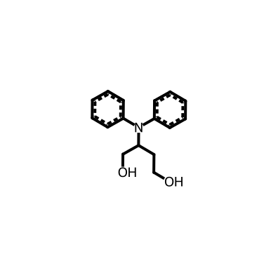 OCCC(CO)N(c1ccccc1)c1ccccc1